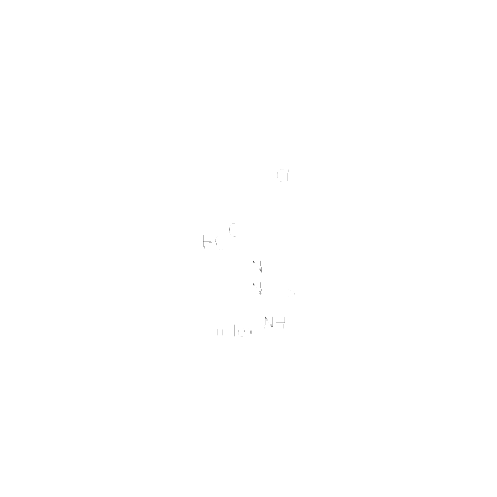 CCCCCCNC1=NN=C(c2ccc(Cl)cc2Cl)CS1.Cl